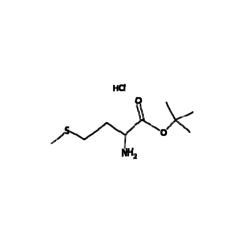 CSCCC(N)C(=O)OC(C)(C)C.Cl